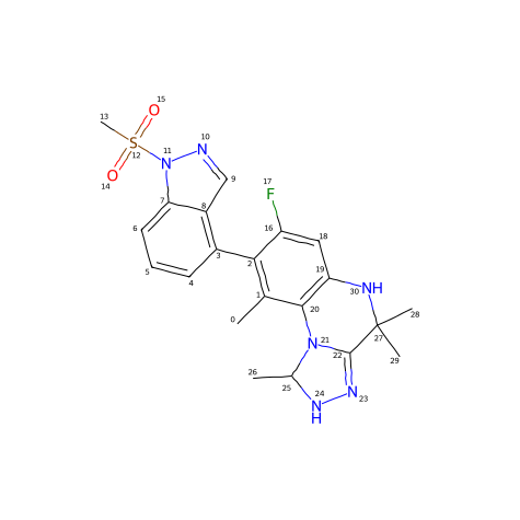 Cc1c(-c2cccc3c2cnn3S(C)(=O)=O)c(F)cc2c1N1C(=NNC1C)C(C)(C)N2